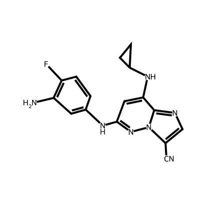 N#Cc1cnc2c(NC3CC3)cc(Nc3ccc(F)c(N)c3)nn12